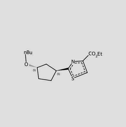 CCCCO[C@H]1CC[C@H](c2nc(C(=O)OCC)cs2)C1